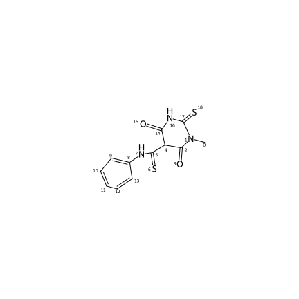 CN1C(=O)C(C(=S)Nc2ccccc2)C(=O)NC1=S